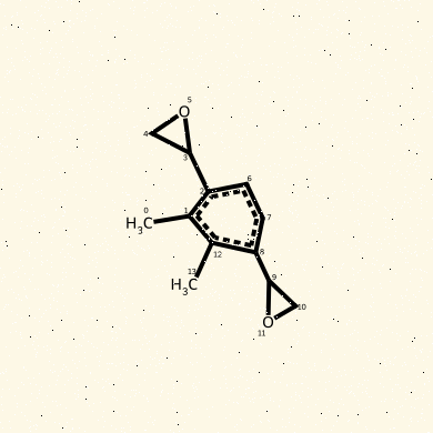 Cc1c(C2CO2)ccc(C2CO2)c1C